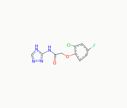 O=C(COc1ccc(F)cc1Cl)Nc1nnc[nH]1